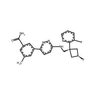 Cc1cc(C(N)=O)cc(-c2ccc(NC[C@]3(c4ncccc4F)C[C@H](F)C3)nn2)c1